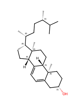 CC(C)[C@@H](C)CC[C@@H](C)[C@H]1CC[C@H]2C3=CC=C4C[C@@H](O)CC[C@]4(C)[C@H]3CC[C@]12C